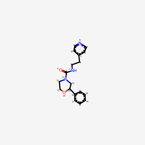 O=C(NCCc1ccncc1)N1CCOC(c2ccccc2)C1